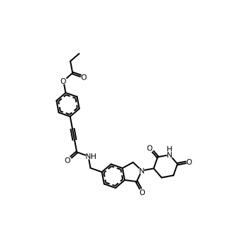 CCC(=O)Oc1ccc(C#CC(=O)NCc2ccc3c(c2)CN(C2CCC(=O)NC2=O)C3=O)cc1